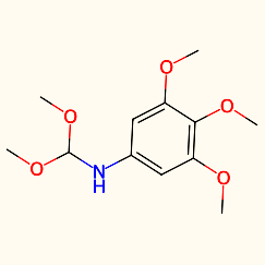 COc1cc(NC(OC)OC)cc(OC)c1OC